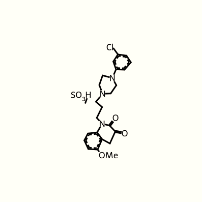 COc1cccc2c1CC(=O)C(=O)N2CCCN1CCN(c2cccc(Cl)c2)CC1.CS(=O)(=O)O